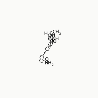 CC(C)C[C@H](NS(=O)(=O)N1CCN(c2ccc(C#Cc3ccc4cccc(C(N)=O)c4c3)cc2)CC1)C(=O)O